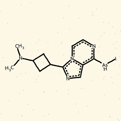 CN(C)C1CC(c2ncc3c([AsH]I)nccn23)C1